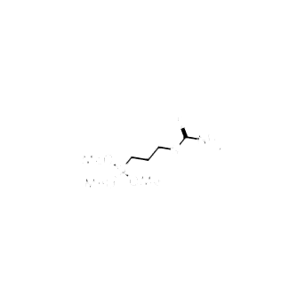 CO[Si](CCCSC(N)=S)(OC)OC